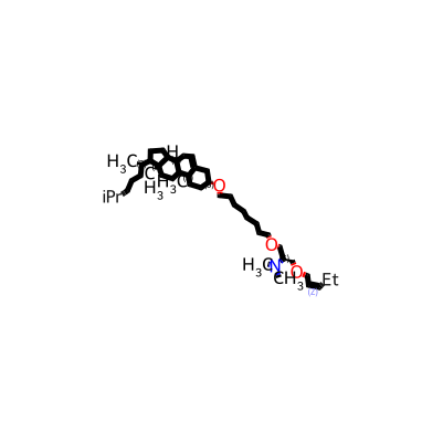 CC/C=C\COC[C@H](COCCCCCCCCO[C@H]1CC[C@@]2(C)C(=CC[C@H]3C4CCC([C@H](C)CCCC(C)C)[C@@]4(C)CCC32)C1)N(C)C